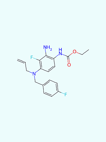 C=CCN(Cc1ccc(F)cc1)c1ccc(NC(=O)OCC)c(N)c1F